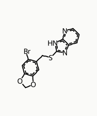 Brc1cc2c(cc1CSc1nc3cccnc3[nH]1)OCO2